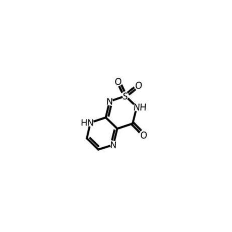 O=C1NS(=O)(=O)N=C2NC=CN=C12